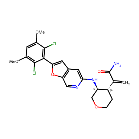 C=C(C(N)=O)[C@@H]1CCOC[C@H]1Nc1cc2cc(-c3c(Cl)c(OC)cc(OC)c3Cl)oc2cn1